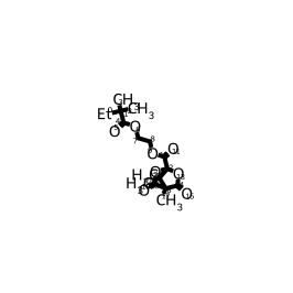 CCC(C)(C)C(=O)OCCOC(=O)C12OC(=O)C(C)(C(=O)O1)C2(C)C